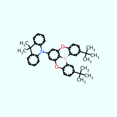 CC(C)(C)c1ccc2c(c1)B1c3cc(C(C)(C)C)ccc3Oc3cc(N4c5ccccc5C(C)(C)c5ccccc54)cc(c31)O2